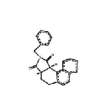 O=C1[C@H]2CCc3ccc4ccccc4c3[C@H]2C(=O)N1Cc1ccccc1